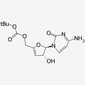 CC(C)(C)OC(=O)OCC1=C[C@@H](O)[C@H](n2ccc(N)nc2=O)O1